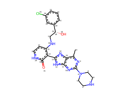 Cc1nc(N2CCNCC2)nc2[nH]c(-c3c(NC[C@@H](O)c4cccc(Cl)c4)cc[nH]c3=O)nc12